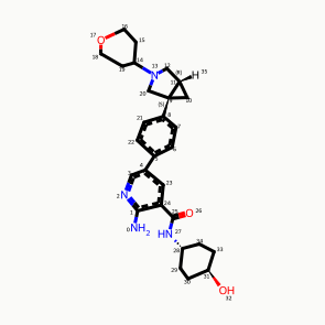 Nc1ncc(-c2ccc([C@]34C[C@H]3CN(C3CCOCC3)C4)cc2)cc1C(=O)N[C@H]1CC[C@H](O)CC1